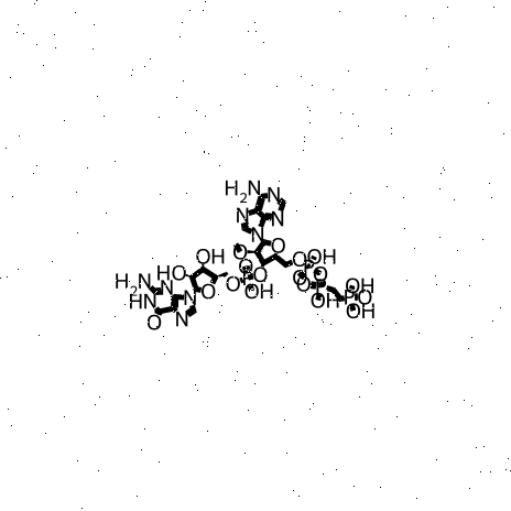 CO[C@@H]1[C@H](OP(=O)(O)OC[C@H]2O[C@@H](n3cnc4c(=O)[nH]c(N)nc43)[C@H](O)[C@@H]2O)C(COP(=O)(O)OP(=O)(O)CCP(=O)(O)O)O[C@H]1n1cnc2c(N)ncnc21